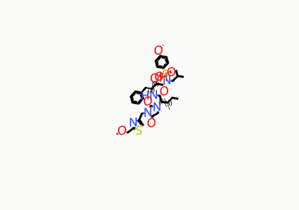 CC[C@H](C)[C@@H](C(=O)N[C@@H](Cc1ccccc1)[C@H](O)CN(CC(C)C)S(=O)(=O)c1ccc(OC)cc1)N1CC(=O)N(Cc2csc(COC)n2)C1=O